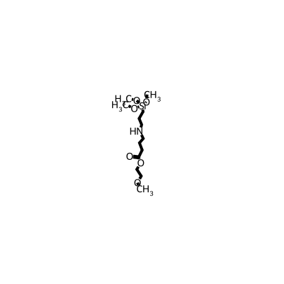 COCCOC(=O)CCCNCCC[Si](OC)(OC)OC